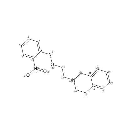 O=[N+]([O-])c1ccccc1[N]OCCN1CCc2ccccc2C1